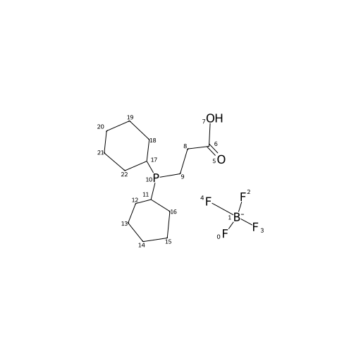 F[B-](F)(F)F.O=C(O)CCP(C1CCCCC1)C1CCCCC1